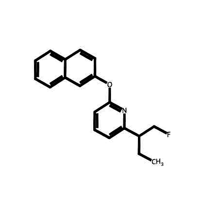 CCC(CF)c1cccc(Oc2ccc3ccccc3c2)n1